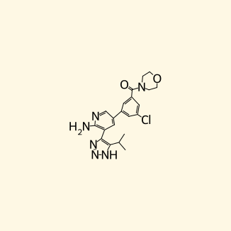 CC(C)c1[nH]nnc1-c1cc(-c2cc(Cl)cc(C(=O)N3CCOCC3)c2)cnc1N